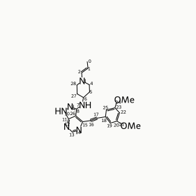 CC=CN1CCC(Nc2n[nH]c3ncnc(C#Cc4cc(OC)cc(OC)c4)c23)CC1